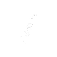 C=C(C)C(=O)Oc1ccc2c(oc3c(C)c(OC(=O)C(=C)C)ccc32)c1C